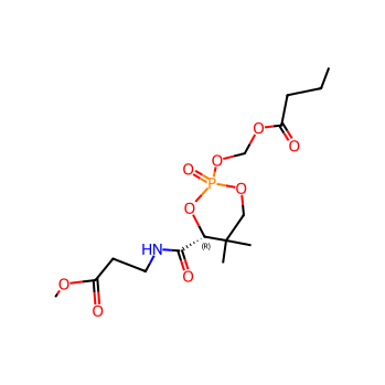 CCCC(=O)OCOP1(=O)OCC(C)(C)[C@H](C(=O)NCCC(=O)OC)O1